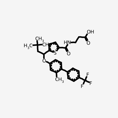 Cc1cc(OC(CC(C)(C)C)c2ccc(C(=O)NCCC(=O)O)s2)ccc1-c1ccc(C(F)(F)F)cc1